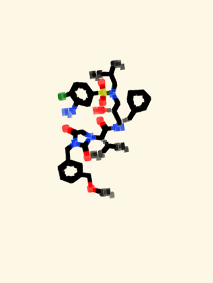 COCc1cccc(CN2C(=O)CN([C@H](C(=O)N[C@@H](Cc3ccccc3)[C@H](O)CN(CC(C)C)S(=O)(=O)c3ccc(Cl)c(N)c3)C(C)C)C2=O)c1